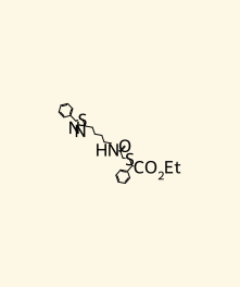 CCOC(=O)C(SCC(=O)NCCCCCc1nnc(-c2ccccc2)s1)c1ccccc1